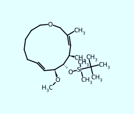 CO[C@H]1/C=C/CCCCCOC/C(C)=C\[C@@H](C)[C@@H]1O[Si](C)(C)C(C)(C)C